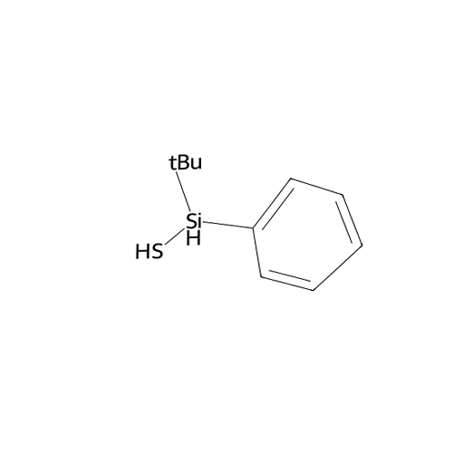 CC(C)(C)[SiH](S)c1ccccc1